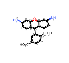 N=c1ccc2c(-c3cc(C(=O)O)ccc3C(=O)O)c3ccc(N)cc3oc-2c1